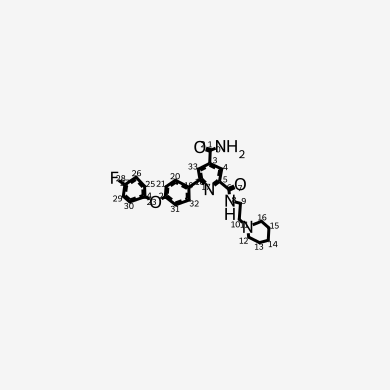 NC(=O)c1cc(C(=O)NCCN2CCCCC2)nc(-c2ccc(Oc3ccc(F)cc3)cc2)c1